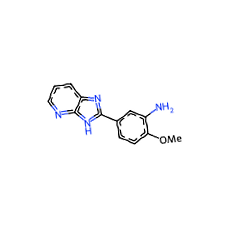 COc1ccc(-c2nc3cccnc3[nH]2)cc1N